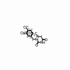 CCOC(=O)N1CC(=O)NC(=O)N1Cc1ccc(Cl)c(Cl)c1